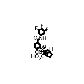 O=C(O)C[C@@]1(O)C2CC[C@H]1C[C@H](S(=O)(=O)c1cc(C(=O)Nc3cc(F)c(F)c(F)c3)ccc1Cl)C2